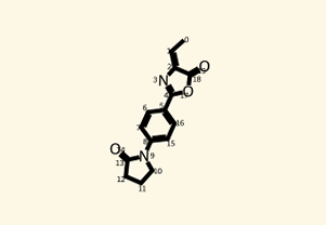 C/C=C1/N=C(c2ccc(N3CCCC3=O)cc2)OC1=O